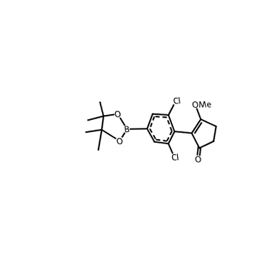 COC1=C(c2c(Cl)cc(B3OC(C)(C)C(C)(C)O3)cc2Cl)C(=O)CC1